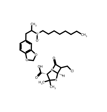 CC1(C)S[C@@H]2C(CCl)C(=O)N2[C@H]1C(=O)O.CCCCCCCC[S+]([O-])C(C)Cc1ccc2c(c1)OCO2